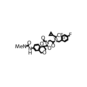 CNC(=O)Nc1ccc2c(c1)COCC21OC(=O)N(CC(=O)N(Cc2ccc(F)cc2)[C@@H](C2CC2)C(F)(F)F)C1=O